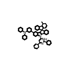 CC1CC=CC2=C1c1ccccc1C21c2ccccc2-c2c1c1cc(-c3cccc(N(c4ccccc4)c4ccccc4)c3)ccc1n2C1=CC(C2C=CC=CC2)=NC(c2ccccc2)N1